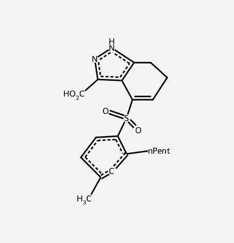 CCCCCc1cc(C)ccc1S(=O)(=O)C1=CCCc2[nH]nc(C(=O)O)c21